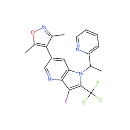 Cc1noc(C)c1-c1cnc2c(I)c(C(F)(F)F)n(C(C)c3ccccn3)c2c1